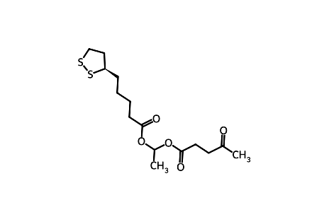 CC(=O)CCC(=O)OC(C)OC(=O)CCCC[C@@H]1CCSS1